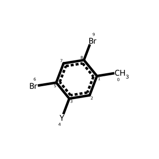 Cc1c[c]([Y])c(Br)cc1Br